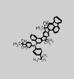 CC(C)(C)c1ccc(N(c2ccc(C(C)(C)C)cc2)c2cc3c(c4ccccc24)-c2cc4c(cc2C3(C)C)-c2c(cc3c5c(cccc25)-c2ccccc2-3)C4(C)C)cc1